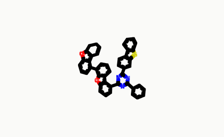 C1=Cc2c(oc3cccc(-c4cccc5c4oc4cccc(-c6nc(-c7ccccc7)nc(-c7ccc8c(c7)sc7ccccc78)n6)c45)c23)CC1